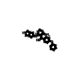 N=C(c1ccc(Oc2ccccc2)cc1)c1c(N)ncnc1NC1CC2CNCC2C1